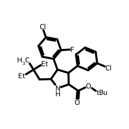 CCC(C)(CC)CC1NC(C(=O)OC(C)(C)C)C(c2cccc(Cl)c2)C1c1ccc(Cl)cc1F